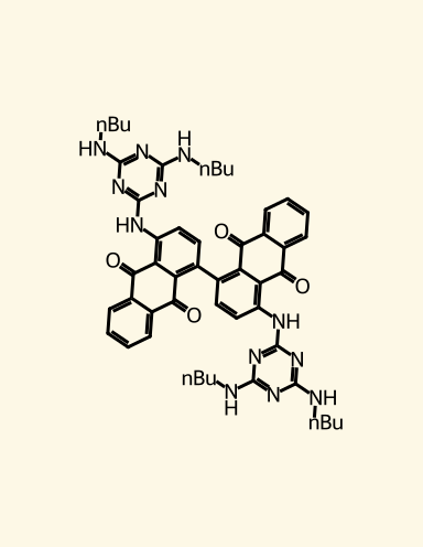 CCCCNc1nc(NCCCC)nc(Nc2ccc(-c3ccc(Nc4nc(NCCCC)nc(NCCCC)n4)c4c3C(=O)c3ccccc3C4=O)c3c2C(=O)c2ccccc2C3=O)n1